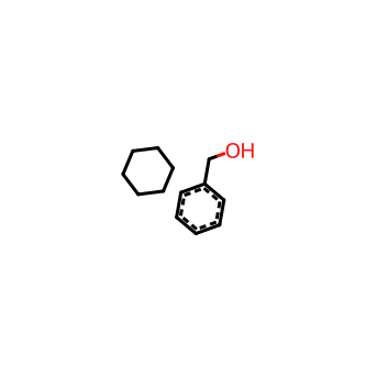 C1CCCCC1.OCc1ccccc1